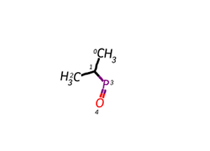 CC(C)P=O